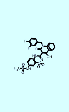 CS(=O)(=O)Nc1ccc2c(c1)S(=O)(=O)N=C(C1=C(O)C3C4CCC(CC4)C3N(Cc3ccc(F)c(F)c3)C1=O)N2